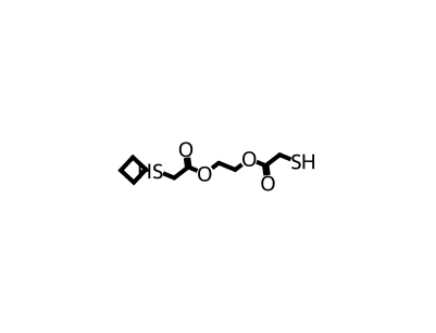 C1CCC1.O=C(CS)OCCOC(=O)CS